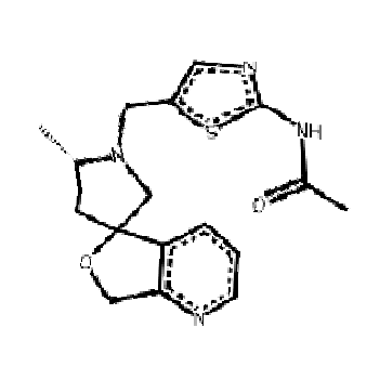 CC(=O)Nc1ncc(CN2CC3(C[C@@H]2C)OCc2ncccc23)s1